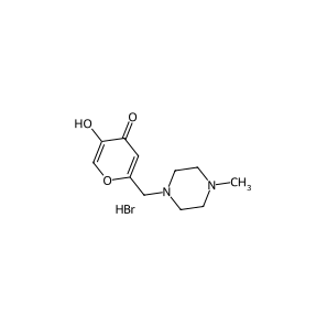 Br.CN1CCN(Cc2cc(=O)c(O)co2)CC1